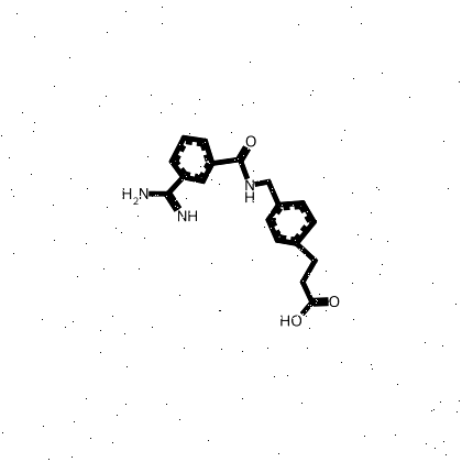 N=C(N)c1cccc(C(=O)NCc2ccc(CCC(=O)O)cc2)c1